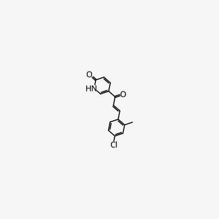 Cc1cc(Cl)ccc1/C=C/C(=O)c1ccc(=O)[nH]c1